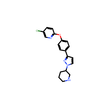 Clc1ccc(Oc2ccc(-c3ccn(C4CCCNC4)n3)cc2)nc1